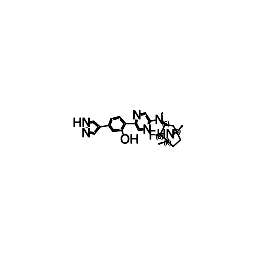 CN(c1cnc(-c2ccc(-c3cn[nH]c3)cc2O)cn1)[C@H]1C[C@]2(C)CC[C@@](C)(N2)[C@H]1F